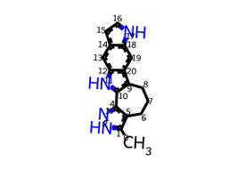 Cc1[nH]nc2c1CCCc1c-2[nH]c2cc3cc[nH]c3cc12